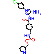 Nc1cn(-c2ccc(Cl)cc2)nc1NC(=O)c1ccc(CNC(=O)OCc2cccnc2)cc1